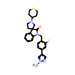 Cn1cc(-c2ccc(CN3C(=O)C4(CCN(C5CCSCC5)C4)c4ccccc43)c(F)c2)cn1